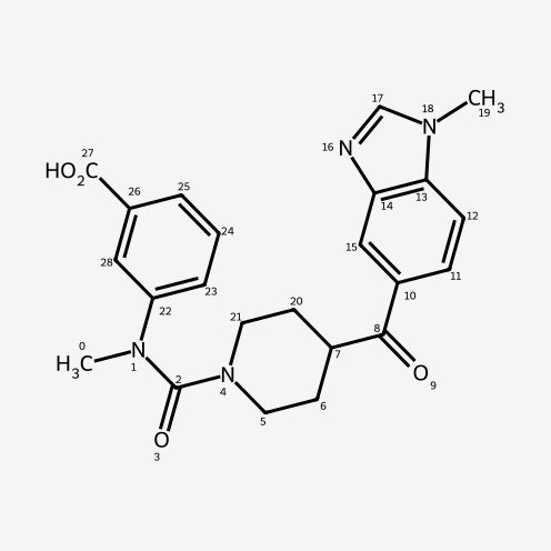 CN(C(=O)N1CCC(C(=O)c2ccc3c(c2)ncn3C)CC1)c1cccc(C(=O)O)c1